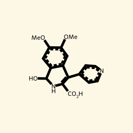 COc1cc2c(cc1OC)C(O)NC(C(=O)O)=C2c1ccncc1